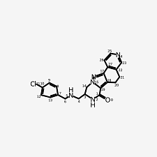 O=C1NC(CNCc2ccc(Cl)cc2)Cn2nc3c(c21)CCc1cnccc1-3